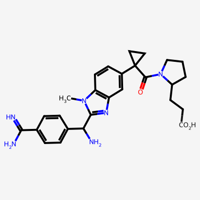 Cn1c(C(N)c2ccc(C(=N)N)cc2)nc2cc(C3(C(=O)N4CCCC4CCC(=O)O)CC3)ccc21